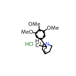 COc1cc(C2(C)CC3CCN2CC3)cc(OC)c1OC.Cl